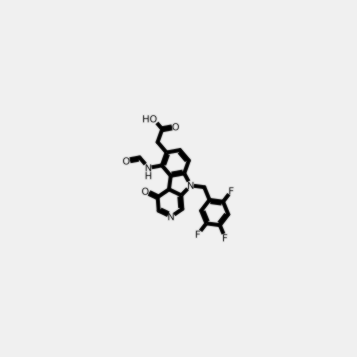 O=CNc1c(CC(=O)O)ccc2c1C1C(=O)C=NC=C1N2Cc1cc(F)c(F)cc1F